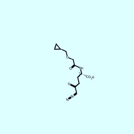 [N-]=[N+]=CC(=O)CC[C@H](NC(=O)COCC1CC1)C(=O)O